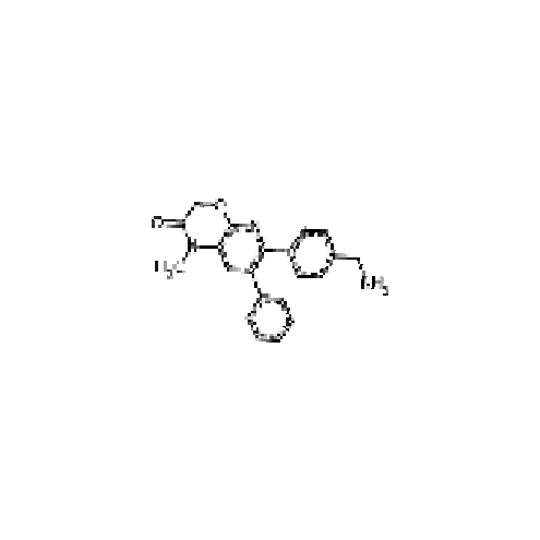 CN1C(=O)COc2nc(-c3ccc(CN)cc3)c(-c3ccccc3)cc21